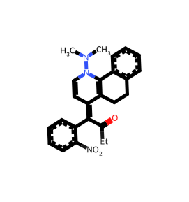 CCC(=O)/C(=C1/C=CN(N(C)C)C2=C1CCc1ccccc12)c1ccccc1[N+](=O)[O-]